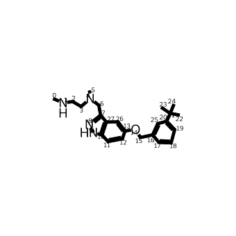 CNCCN(C)Cc1n[nH]c2ccc(OCc3cccc(C(C)(C)C)c3)cc12